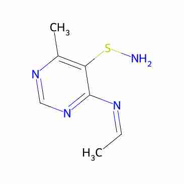 C/C=N\c1ncnc(C)c1SN